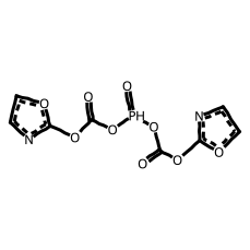 O=C(Oc1ncco1)O[PH](=O)OC(=O)Oc1ncco1